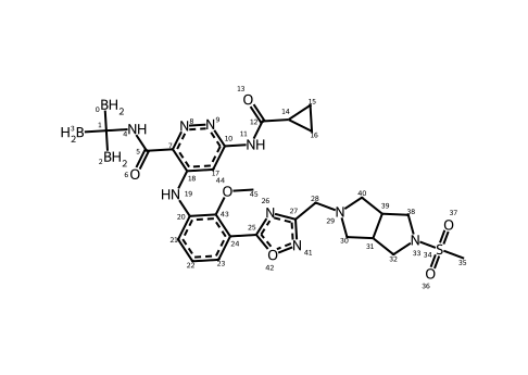 BC(B)(B)NC(=O)c1nnc(NC(=O)C2CC2)cc1Nc1cccc(-c2nc(CN3CC4CN(S(C)(=O)=O)CC4C3)no2)c1OC